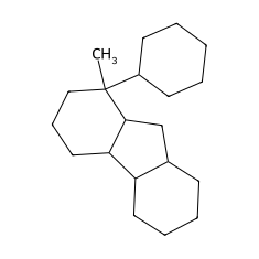 CC1(C2CCCCC2)CCCC2C3CCCCC3CC21